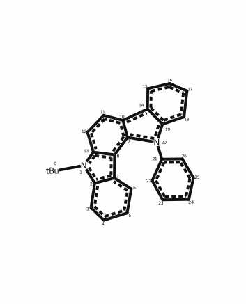 CC(C)(C)n1c2ccccc2c2c3c(ccc21)c1ccccc1n3-c1ccccc1